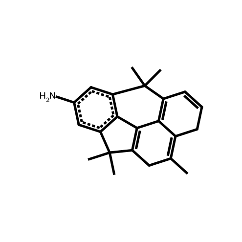 CC1=C2CC=CC3=C2C2=C(C1)C(C)(C)c1cc(N)cc(c12)C3(C)C